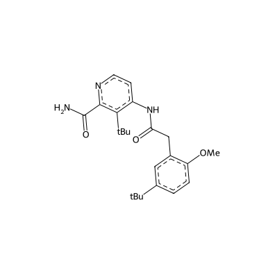 COc1ccc(C(C)(C)C)cc1CC(=O)Nc1ccnc(C(N)=O)c1C(C)(C)C